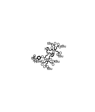 CC(C)(C)OC(=O)CCC(CCC(=O)OC(C)(C)C)(CCC(=O)OC(C)(C)C)NC(=O)Cn1ccnc1CN(CCCCOc1ccc(N[SH](=O)=O)cc1)Cc1nccn1CC(=O)NC(CCC(=O)OC(C)(C)C)(CCC(=O)OC(C)(C)C)CCC(=O)OC(C)(C)C